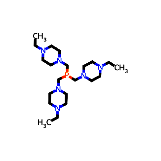 CCN1CCN(CP(CN2CCN(CC)CC2)CN2CCN(CC)CC2)CC1